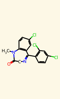 CN1C(=O)CN=C(c2ccc(Cl)cc2Cl)c2cc(Cl)ccc21